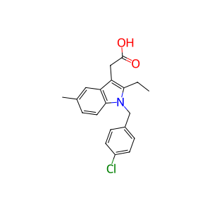 CCc1c(CC(=O)O)c2cc(C)ccc2n1Cc1ccc(Cl)cc1